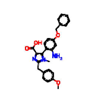 COc1ccc(Cc2nc(C(=O)O)c(-c3ccc(OCc4ccccc4)cc3N)n2C)cc1